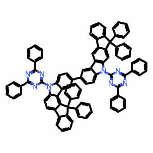 c1ccc(-c2nc(-c3ccccc3)nc(-n3c4ccc(-c5ccc6c(c5)c5c7c(ccc5n6-c5nc(-c6ccccc6)nc(-c6ccccc6)n5)-c5ccccc5C7(c5ccccc5)c5ccccc5)cc4c4cc5c(cc43)C(c3ccccc3)(c3ccccc3)c3ccccc3-5)n2)cc1